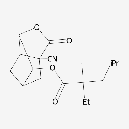 CCC(C)(CC(C)C)C(=O)OC1C2CC3C1OC(=O)C3(C#N)C2